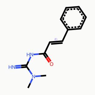 CN(C)C(=N)NC(=O)/C=C/c1ccccc1